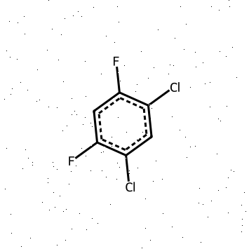 Fc1cc(F)c(Cl)cc1Cl